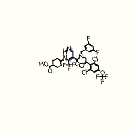 C/N=C\C(C(=O)N(CC(=O)c1c(Cl)cc(OC(F)(F)F)cc1Cl)Cc1cc(F)cc(F)c1)=C(/NC1CCC(C(=O)O)CC1)C(F)(F)F